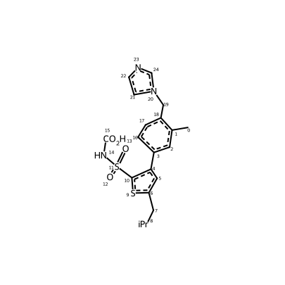 Cc1cc(-c2cc(CC(C)C)sc2S(=O)(=O)NC(=O)O)ccc1Cn1ccnc1